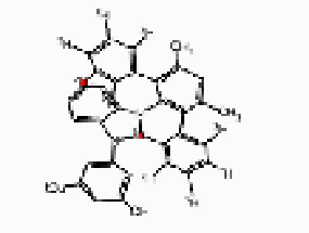 [2H]c1c([2H])c([2H])c(-c2c(C)cc(C)c(-c3c([2H])c([2H])c([2H])c([2H])c3[2H])c2N2CN(c3cc(O)cc(C(C)(C)C)c3)c3ccccc32)c([2H])c1[2H]